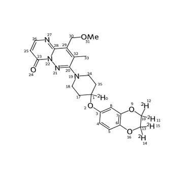 [2H]C1(Oc2ccc3c(c2)OC([2H])([2H])C([2H])([2H])O3)CCN(c2nn3c(=O)ccnc3c(COC)c2C)CC1